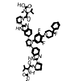 COC(=O)N[C@H](C(=O)N1CCC[C@H]1c1nc2ccc([C@H]3CC[C@H](c4ccc5nc([C@@H]6CCCN6C(=O)[C@H](C(C)C)N(C)C(=O)O)[nH]c5c4)N3c3cc(F)c(N4CCC(F)(c5ccccc5)CC4)c(F)c3)cc2[nH]1)C(C)C